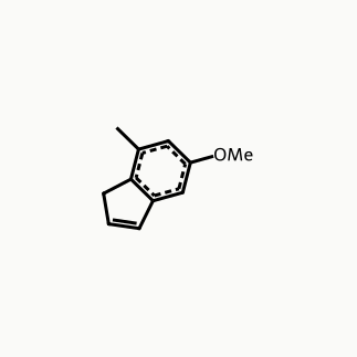 COc1cc(C)c2c(c1)C=CC2